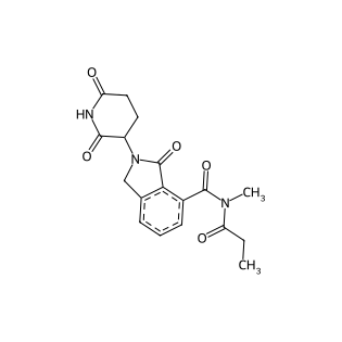 CCC(=O)N(C)C(=O)c1cccc2c1C(=O)N(C1CCC(=O)NC1=O)C2